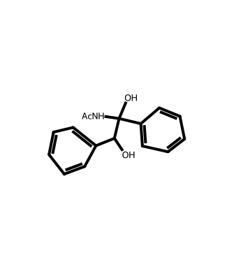 CC(=O)NC(O)(c1ccccc1)C(O)c1ccccc1